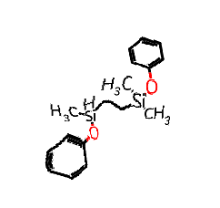 C[SiH](CC[Si](C)(C)Oc1ccccc1)Oc1ccccc1